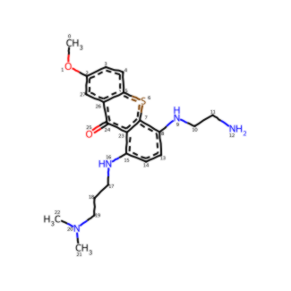 COc1ccc2sc3c(NCCN)ccc(NCCCN(C)C)c3c(=O)c2c1